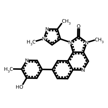 Cc1ncc(-c2ccc3ncc4c(c3c2)n(-c2cn(C)nc2C)c(=O)n4C)cc1O